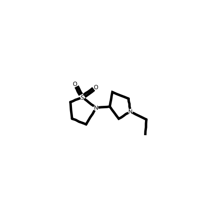 CCN1CCC(N2CCCS2(=O)=O)C1